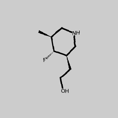 C[C@H]1CNC[C@@H](CCO)[C@@H]1F